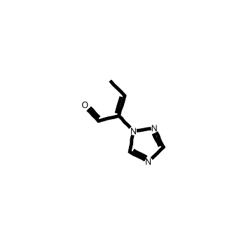 CC=C(C=O)n1cncn1